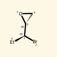 CC[C@H](Br)[C@H]1CO1